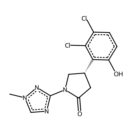 Cn1cnc(N2C[C@H](c3c(O)ccc(Cl)c3Cl)CC2=O)n1